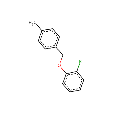 Cc1ccc(COc2ccccc2Br)cc1